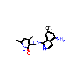 Cc1cc(C)c(CNc2nccc3c(N)cc(C(F)(F)F)cc23)c(=O)[nH]1